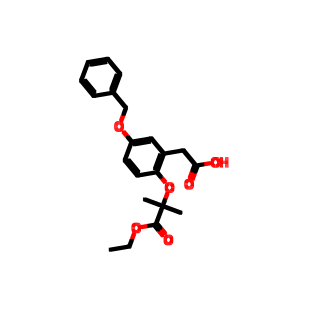 CCOC(=O)C(C)(C)Oc1ccc(OCc2ccccc2)cc1CC(=O)O